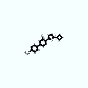 Cc1ccc(-c2ccc(-c3ccc(C4CCC4)s3)c(F)c2)cc1